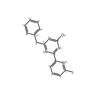 Cc1cccc(-c2nc(Cl)cc(Cc3ccccc3)n2)n1